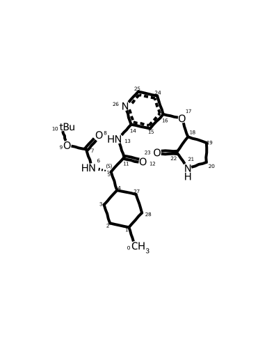 CC1CCC([C@H](NC(=O)OC(C)(C)C)C(=O)Nc2cc(OC3CCNC3=O)ccn2)CC1